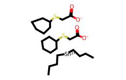 CCC[CH2][Sn+2][CH2]CCC.O=C([O-])CSC1CCCCC1.O=C([O-])CSC1CCCCC1